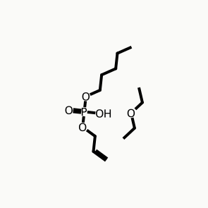 C=CCOP(=O)(O)OCCCCC.CCOCC